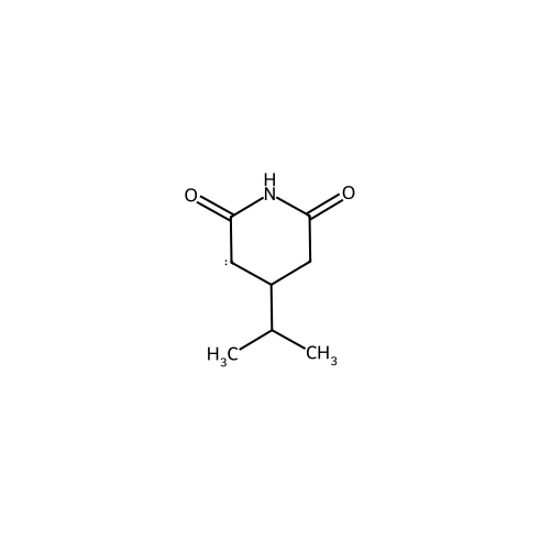 CC(C)C1[C]C(=O)NC(=O)C1